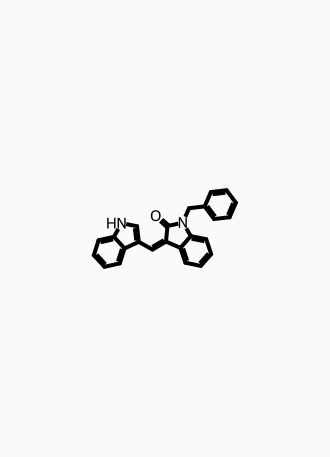 O=C1C(=Cc2c[nH]c3ccccc23)c2ccccc2N1Cc1ccccc1